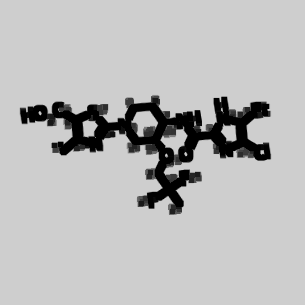 CCc1[nH]c(C(=O)N[C@@H]2CCN(c3nc(C)c(C(=O)O)s3)C[C@@H]2OCC(C)(F)F)nc1Cl